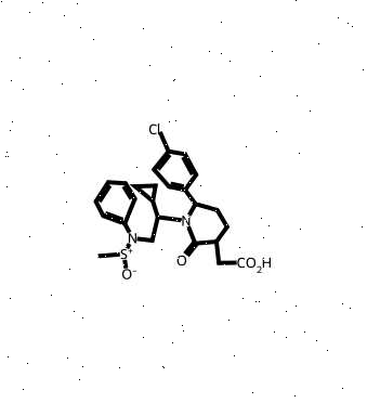 C[S+]([O-])N(CC(C1CC1)N1C(=O)C(CC(=O)O)CCC1c1ccc(Cl)cc1)c1ccccc1